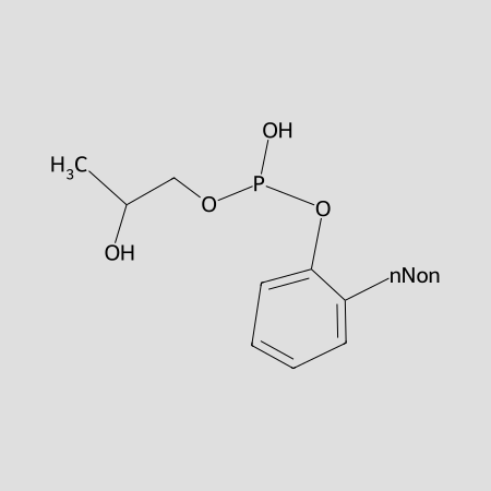 CCCCCCCCCc1ccccc1OP(O)OCC(C)O